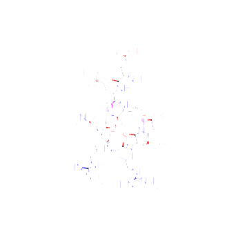 CSCC[C@H](NC(=O)[C@H](CCC(=O)O)NC(=O)[C@@H](N)CCC(=O)O)C(=O)N[C@@H](CC(N)=O)C(=O)N[C@@H](CCCNC(=N)N)C(=O)N[C@@H](CCCNC(=N)N)C(=O)N[C@@H](C)C(=O)N[C@@H](CC(=O)O)C(=O)O